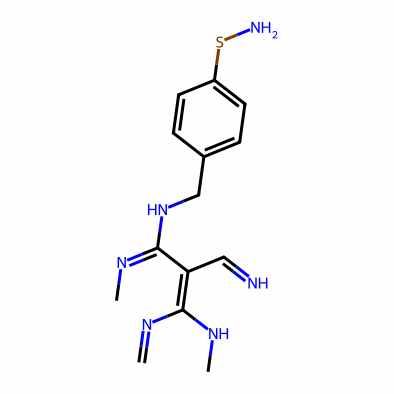 C=N/C(NC)=C(C=N)\C(=N/C)NCc1ccc(SN)cc1